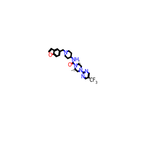 C[C@@H]1CN(c2ncc(C(F)(F)F)cn2)C[C@H](C)N1C(=O)NC1CCN(Cc2ccc3occc3c2)CC1